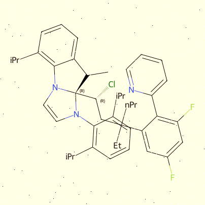 CCCC(CC)(C[C@@H](Cl)[C@@]12C(C)c3cccc(C(C)C)c3N1C=CN2c1c(C(C)C)cccc1C(C)C)c1cc(F)cc(F)c1-c1ccccn1